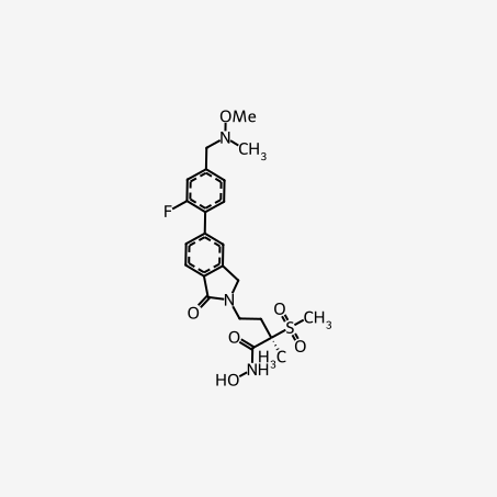 CON(C)Cc1ccc(-c2ccc3c(c2)CN(CC[C@](C)(C(=O)NO)S(C)(=O)=O)C3=O)c(F)c1